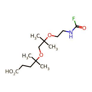 CC(C)(CCC(=O)O)OCC(C)(C)OCCNC(=O)F